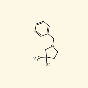 CC(C)C1(C)CCN(Cc2ccccc2)C1